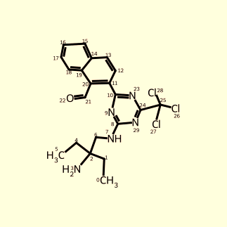 CCC(N)(CC)CNc1nc(-c2ccc3ccccc3c2C=O)nc(C(Cl)(Cl)Cl)n1